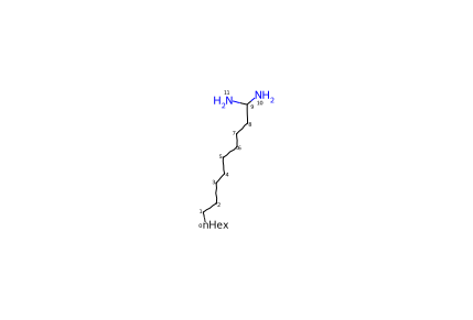 CCCCCCCCCCC[CH]CCC(N)N